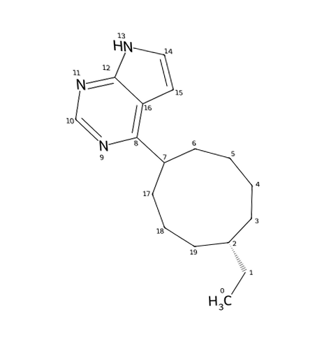 CC[C@H]1CCCCC(c2ncnc3[nH]ccc23)CCC1